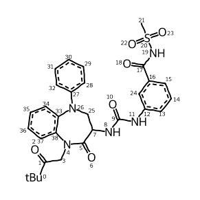 CC(C)(C)C(=O)CN1C(=O)C(NC(=O)Nc2cccc(C(=O)NS(C)(=O)=O)c2)CN(c2ccccc2)c2ccccc21